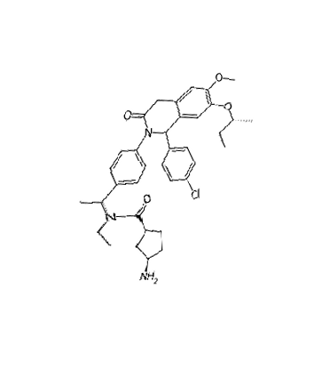 CC[C@@H](C)Oc1cc2c(cc1OC)CC(=O)N(c1ccc(C(C)N(CC)C(=O)[C@H]3CC[C@@H](N)C3)cc1)C2c1ccc(Cl)cc1